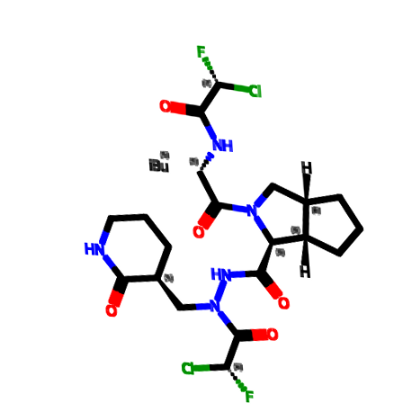 CC[C@H](C)[C@H](NC(=O)[C@H](F)Cl)C(=O)N1C[C@@H]2CCC[C@@H]2[C@H]1C(=O)NN(C[C@@H]1CCCNC1=O)C(=O)[C@H](F)Cl